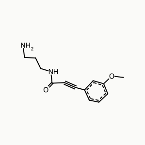 COc1cccc(C#CC(=O)NCCCN)c1